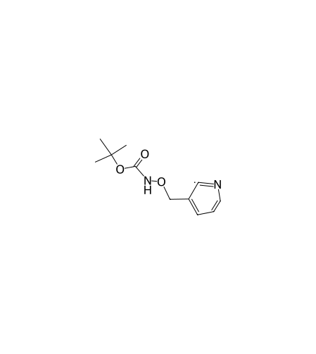 CC(C)(C)OC(=O)NOCc1[c]nccc1